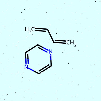 C=CC=C.c1cnccn1